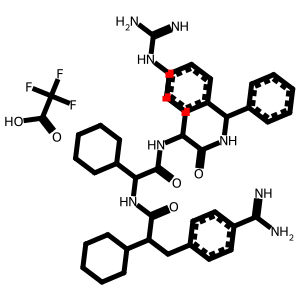 N=C(N)NCCCC(NC(=O)C(NC(=O)C(Cc1ccc(C(=N)N)cc1)C1CCCCC1)C1CCCCC1)C(=O)NC(c1ccccc1)c1ccccc1.O=C(O)C(F)(F)F